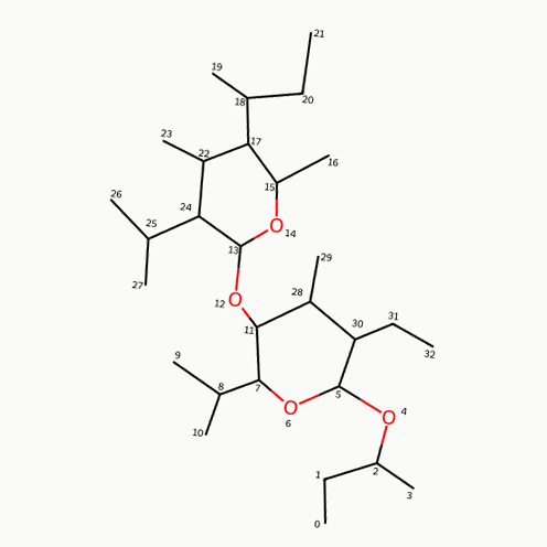 CCC(C)OC1OC(C(C)C)C(OC2OC(C)C(C(C)CC)C(C)C2C(C)C)C(C)C1CC